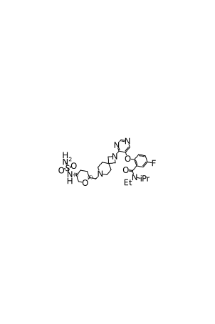 CCN(C(=O)c1cc(F)ccc1Oc1cncnc1N1CC2(CCN(C[C@@H]3CC[C@@H](NS(N)(=O)=O)CO3)CC2)C1)C(C)C